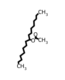 CCCCCCCCC(CCCCCCCC)OC(C)=O